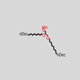 CCCCCCCCCCCCCCCCCCOC[C@H](COO)OCCCCCCCCCCCCCCCCCC